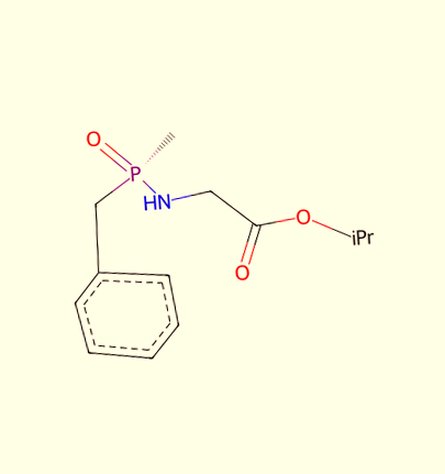 CC(C)OC(=O)CN[P@](C)(=O)Cc1ccccc1